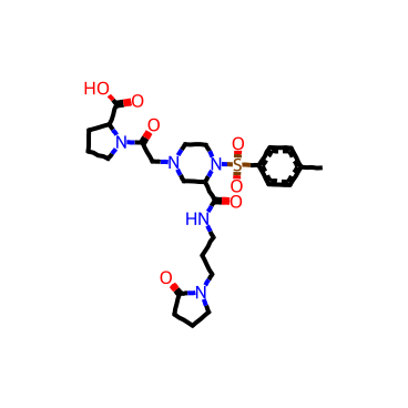 Cc1ccc(S(=O)(=O)N2CCN(CC(=O)N3CCCC3C(=O)O)CC2C(=O)NCCCN2CCCC2=O)cc1